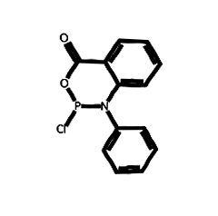 O=C1OP(Cl)N(c2ccccc2)c2ccccc21